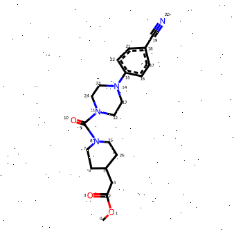 COC(=O)CC1CCN(C(=O)N2CCN(c3ccc(C#N)cc3)CC2)CC1